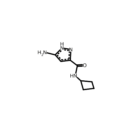 Nc1cc(C(=O)NC2CCC2)n[nH]1